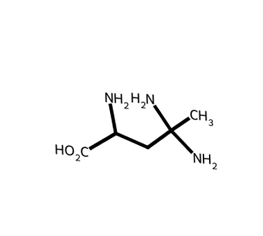 CC(N)(N)CC(N)C(=O)O